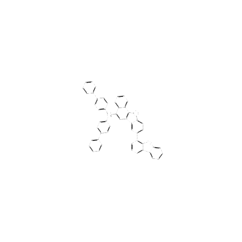 c1ccc(-c2ccc(N(c3ccc(-c4ccccc4)cc3)c3cc4c5cc(-c6cccc7c6sc6ccccc67)ccc5oc4c4ccccc34)cc2)cc1